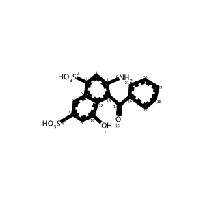 Nc1cc(S(=O)(=O)O)c2cc(S(=O)(=O)O)cc(O)c2c1C(=O)c1ccccc1